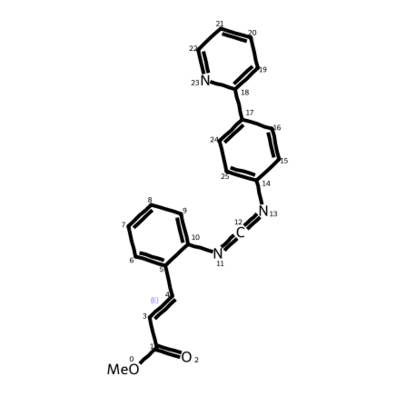 COC(=O)/C=C/c1ccccc1N=C=Nc1ccc(-c2ccccn2)cc1